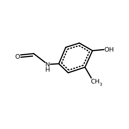 Cc1cc(NC=O)ccc1O